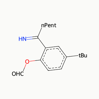 CCCCCC(=N)c1cc(C(C)(C)C)ccc1OC=O